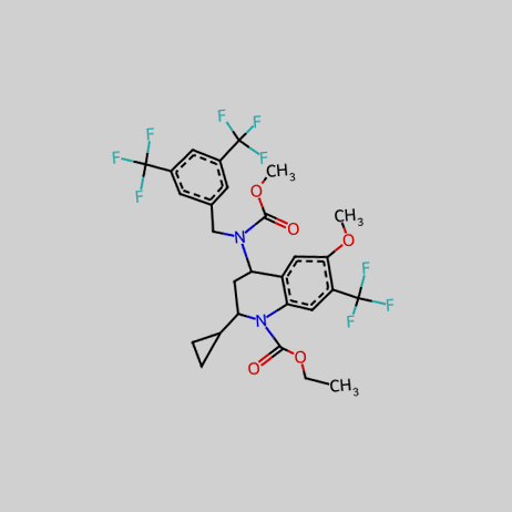 CCOC(=O)N1c2cc(C(F)(F)F)c(OC)cc2C(N(Cc2cc(C(F)(F)F)cc(C(F)(F)F)c2)C(=O)OC)CC1C1CC1